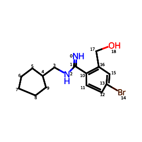 N=C(NCC1CCCCC1)c1ccc(Br)cc1CO